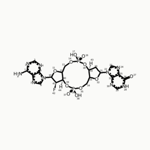 Nc1ncnc2c1ncn2C1OC2COP(=O)(O)O[C@H]3CC(n4cnc5c(=O)[nH]cnc54)OC3COP(=O)(O)O[C@H]2[C@H]1F